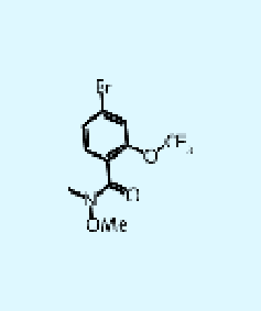 CON(C)C(=O)c1ccc(Br)cc1OC(F)(F)F